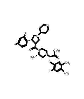 COC(=O)[C@H](Cc1cc(C)c(C)cc1F)N1CCN(C(=O)[C@@H]2CN(C3CCOCC3)C[C@H]2c2ccc(F)cc2F)[C@@H](C)C1